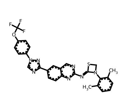 Cc1cccc(C)c1N1CS/C1=N\c1ncc2cc(-c3ncn(-c4ccc(OC(F)(F)F)cc4)n3)ccc2n1